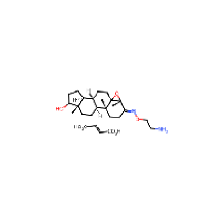 C[C@]12CC[C@H]3[C@@H](CC[C@@]45O[C@]4(C)/C(=N/OCCN)CC[C@]35C)[C@@H]1CC[C@@H]2O.O=C(O)/C=C/C(=O)O